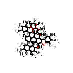 Bc1c(B)c(B)c(-c2c(B)c(B)c(B)c(B)c2-c2c3c(B)cc(-c4c(B)c(B)c(B)c5c(B)c(B)c(B)c(B)c45)c(B)c3c(-c3c(B)c(B)c4oc5c(B)c(B)c(B)c(B)c5c4c3B)c3c(B)c(B)c(B)c(B)c23)c(B)c1B